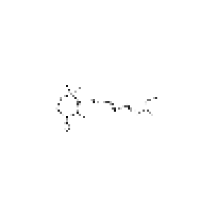 CCC(C)/C=C/C=C(C)/C=C/C1=C(C)C(=O)CCC1(C)C